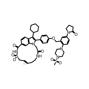 CS(=O)(=O)N1CCN(c2ccc(N3CCCC3=O)cc2COc2ccc(-c3c(C4CCCCC4)c4ccc5cc4n3CC(=O)NCC/C=C/CS(=O)(=O)NC5=O)cc2)CC1